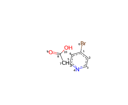 Brc1ccncc1.CC(=O)O